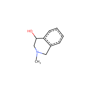 CN1Cc2cc[c]cc2C(O)C1